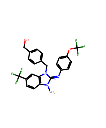 Cn1/c(=N/c2ccc(OC(F)(F)F)cc2)n(Cc2ccc(CO)cc2)c2cc(C(F)(F)F)ccc21